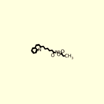 CCC(=O)ONC(=O)CCCCCc1ccc2ccccc2n1